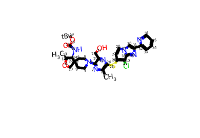 Cc1nc(N2CCC3(CC2)CO[C@@H](C)[C@H]3NC(=O)OC(C)(C)C)c(CO)nc1Sc1ccn2cc(-c3ccccn3)nc2c1Cl